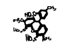 C=c1ccc2c(c1S(=O)(=O)O)Oc1c(ccc(N)c1S(=O)(=O)O)C=2c1ccc(C)cc1C(=O)O